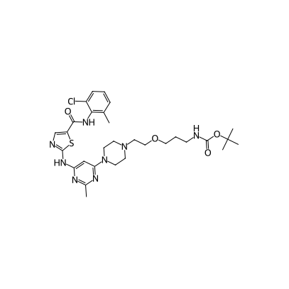 Cc1nc(Nc2ncc(C(=O)Nc3c(C)cccc3Cl)s2)cc(N2CCN(CCOCCCNC(=O)OC(C)(C)C)CC2)n1